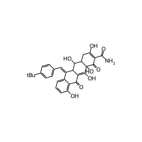 CC(C)(C)c1ccc(/C=C2\c3cccc(O)c3C(=O)C3=C(O)C4(O)C(=O)C(C(N)=O)=C(O)CC4C(O)C32)cc1